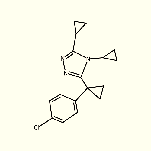 Clc1ccc(C2(c3nnc(C4CC4)n3C3CC3)CC2)cc1